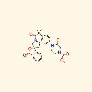 COC(=O)N1CCN(c2ccc(C3(C(=O)N4CCC5(C4)OC(=O)c4ccccc45)CC3)cc2)C(=O)C1